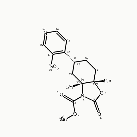 CC(C)(C)OC(=O)N1C(=O)O[C@H]2CC[C@@H](c3ccncc3[N+](=O)[O-])C[C@H]21